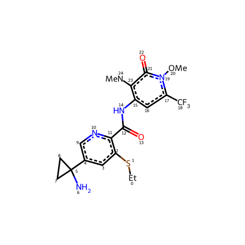 CCSc1cc(C2(N)CC2)cnc1C(=O)Nc1cc(C(F)(F)F)n(OC)c(=O)c1NC